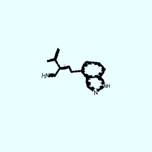 C=C(C)/C(C=N)=C/Cc1cccc2[nH]ncc12